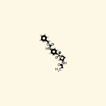 C=CC(=O)NC1CCN(S(=O)(=O)c2ccc(NC(=O)OCc3ccccc3)cc2)C1